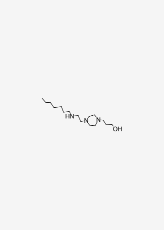 CCCCCCCNCCN1CCN(CCCO)CC1